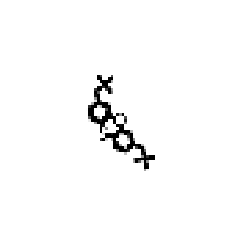 CC(C)(C)Cc1ccc2c(c1)Oc1cc(CC(C)(C)C)ccc1S2